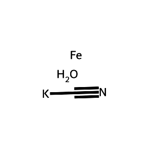 N#[C][K].O.[Fe]